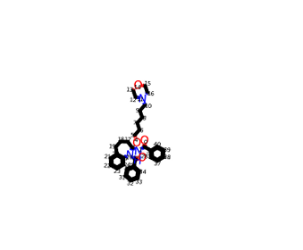 O=C(NC1(OCCCCCCN2CCOCC2)CCCc2ccccc2N1C(=O)c1ccccc1)c1ccccc1